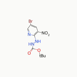 CC(C)(C)OC(=O)NNc1ncc(Br)cc1[N+](=O)[O-]